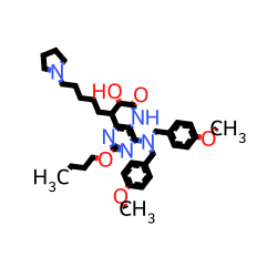 CCCCOc1nc2c(c(N(Cc3ccc(OC)cc3)Cc3ccc(OC)cc3)n1)NC(=O)C(O)C2CCCCCN1CCCC1